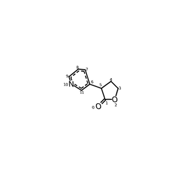 O=C1OCCC1c1cccnc1